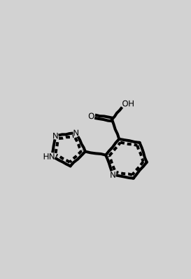 O=C(O)c1cccnc1-c1c[nH]nn1